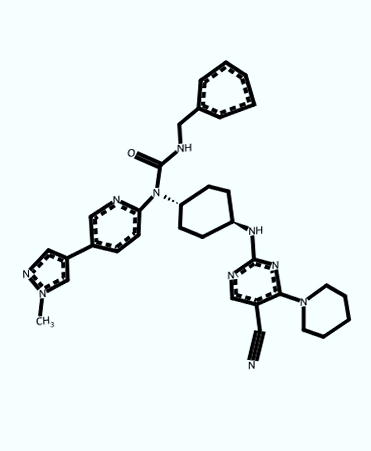 Cn1cc(-c2ccc(N(C(=O)NCc3ccccc3)[C@H]3CC[C@H](Nc4ncc(C#N)c(N5CCCCC5)n4)CC3)nc2)cn1